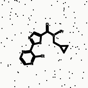 CCc1nccnc1-c1ncc(C(=O)N(CC2CC2)C(C)C)s1